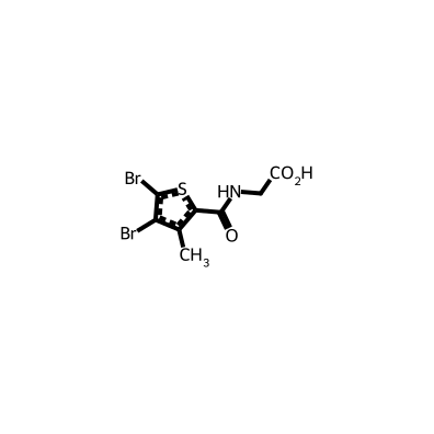 Cc1c(C(=O)NCC(=O)O)sc(Br)c1Br